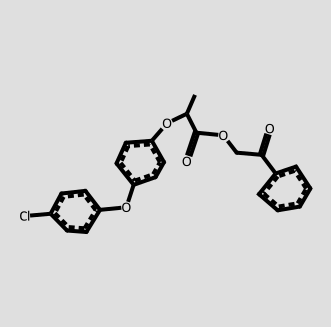 CC(Oc1ccc(Oc2ccc(Cl)cc2)cc1)C(=O)OCC(=O)c1ccccc1